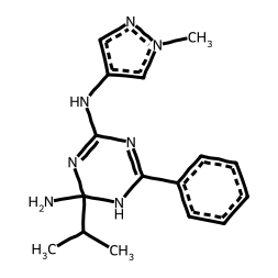 CC(C)C1(N)N=C(Nc2cnn(C)c2)N=C(c2ccccc2)N1